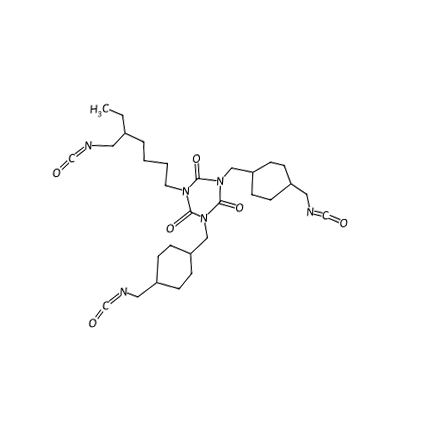 CCC(CCCCn1c(=O)n(CC2CCC(CN=C=O)CC2)c(=O)n(CC2CCC(CN=C=O)CC2)c1=O)CN=C=O